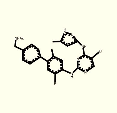 CC(=O)NCc1ccc(-c2cc(F)c(Nc3ncc(Cl)c(Nc4cc(C)[nH]n4)n3)cc2C)cc1